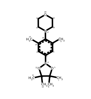 Cc1cc(B2OC(C)(C)C(C)(C)O2)cc(C)c1N1CCOCC1